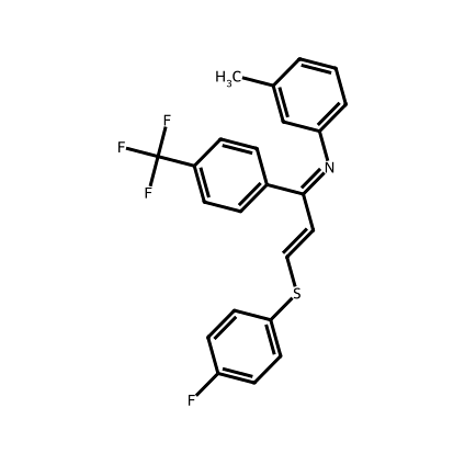 Cc1cccc(N=C(C=CSc2ccc(F)cc2)c2ccc(C(F)(F)F)cc2)c1